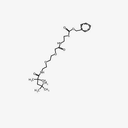 CC(C)(C)CC(C)(C)C(=O)NCCOCCOCC(=O)NCCSC(=O)OCc1ccccc1